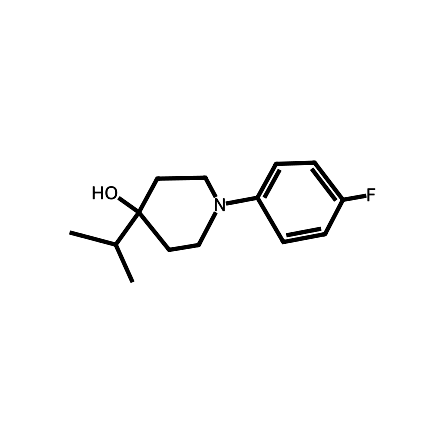 CC(C)C1(O)CCN(c2ccc(F)cc2)CC1